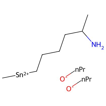 CCC[O-].CCC[O-].[CH3][Sn+2][CH2]CCCC(C)N